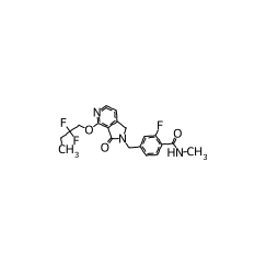 CCC(F)(F)COc1nccc2c1C(=O)N(Cc1ccc(C(=O)NC)c(F)c1)C2